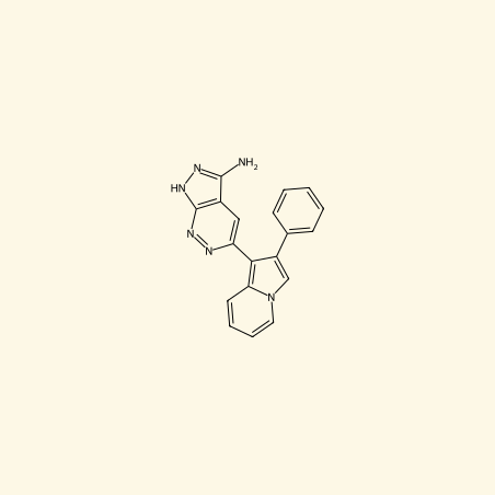 Nc1n[nH]c2nnc(-c3c(-c4ccccc4)cn4ccccc34)cc12